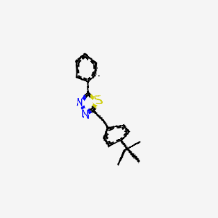 CC(C)(C)c1ccc(-c2nnc(-c3[c]cccc3)s2)cc1